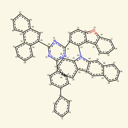 c1ccc(-c2ccc(-c3nc(-c4ccc5oc6ccccc6c5c4-n4c5ccccc5c5cc6ccccc6cc54)nc(-c4cc5ccccc5c5ccccc45)n3)cc2)cc1